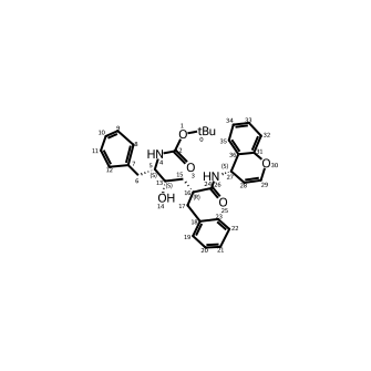 CC(C)(C)OC(=O)N[C@@H](Cc1ccccc1)[C@@H](O)C[C@@H](Cc1ccccc1)C(=O)N[C@H]1C=COc2ccccc21